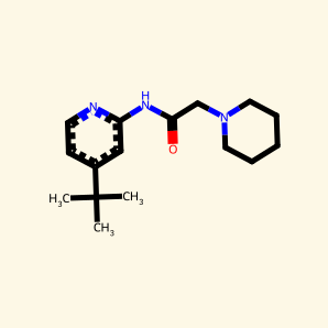 CC(C)(C)c1ccnc(NC(=O)CN2CCCCC2)c1